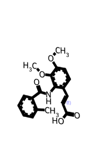 COc1ccc(/C=C/C(=O)O)c(NC(=O)c2ccccc2C)c1OC